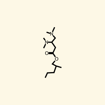 CCCC(C)COC(=O)CC(CN(C)C)N(C)C